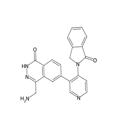 NCc1n[nH]c(=O)c2ccc(-c3cnccc3N3Cc4ccccc4C3=O)cc12